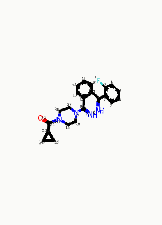 N=C(c1ccccc1F)c1ccccc1C(=N)N1CCN(C(=O)C2CC2)CC1